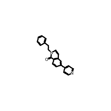 O=c1c2ccc(-c3ccncc3)cc2ccn1CCc1ccccc1